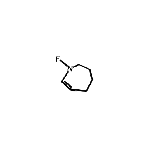 FN1C=CCCCC1